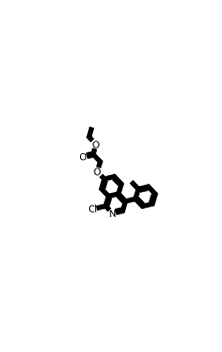 CCOC(=O)COc1ccc2c(-c3ccccc3C)cnc(Cl)c2c1